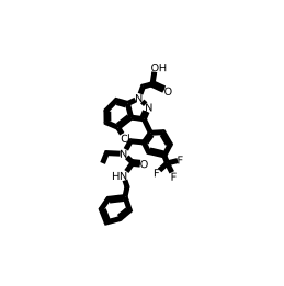 CCN(Cc1cc(C(F)(F)F)ccc1-c1nn(CC(=O)O)c2cccc(Cl)c12)C(=O)NCc1ccccc1